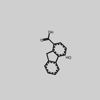 Cl.O=C(O)c1cccc2c1Cc1ccccc1-2